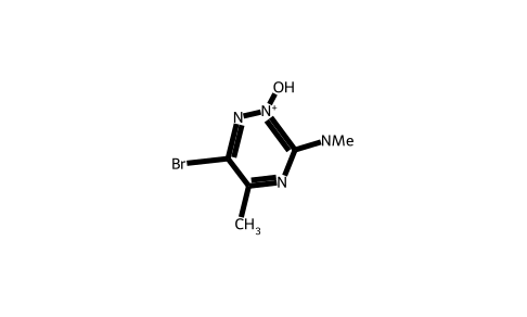 CNc1nc(C)c(Br)n[n+]1O